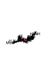 COC[C@H](N)CCCc1cc(OC(F)(F)F)c(F)c(-c2cc3cn(-c4cc(F)c([C@@H]5CCC[C@@H](CCNC(C)=N)N5)c(SC)c4)c(=O)nc3[nH]2)c1